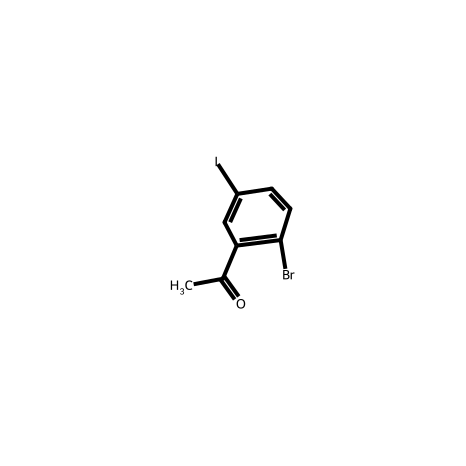 CC(=O)c1cc(I)ccc1Br